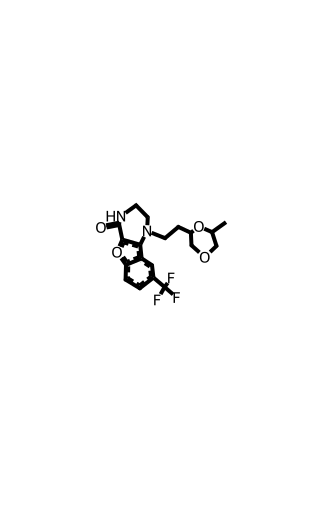 CC1COCC(CCN2CCNC(=O)c3oc4ccc(C(F)(F)F)cc4c32)O1